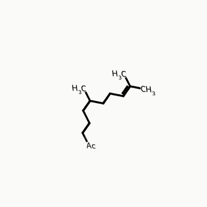 CC(=O)CCCC(C)CCC=C(C)C